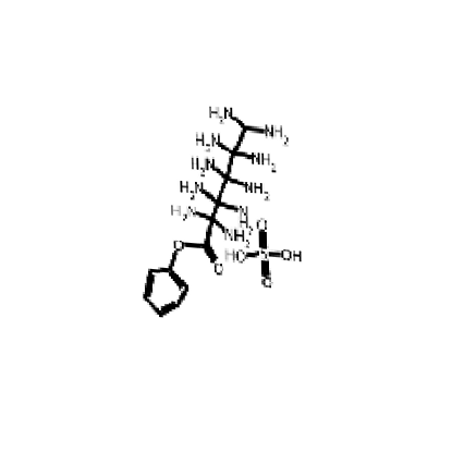 NC(N)C(N)(N)C(N)(N)C(N)(N)C(N)(N)C(=O)Oc1ccccc1.O=S(=O)(O)O